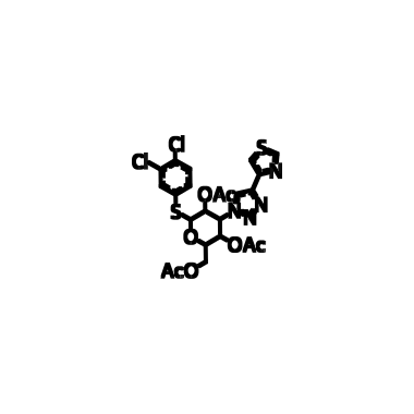 CC(=O)OCC1OC(Sc2ccc(Cl)c(Cl)c2)C(OC(C)=O)C(n2cc(-c3cscn3)nn2)C1OC(C)=O